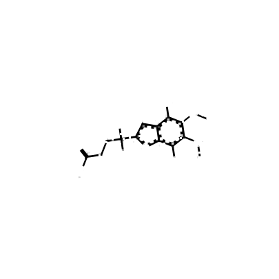 COc1c(OC)c(F)c2sc(C(F)(F)CCC(=O)O)cc2c1F